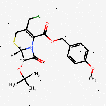 COc1ccc(COC(=O)C2=C(CCl)CS[C@H]3[C@@H](OC(C)(C)C)C(=O)N23)cc1